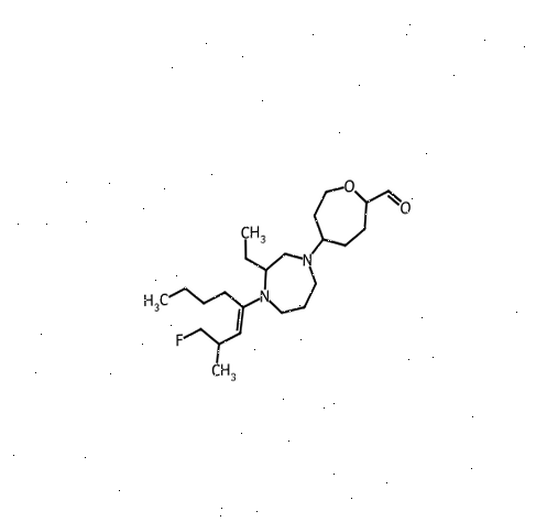 CCCC/C(=C\C(C)CF)N1CCCN(C2CCOC(C=O)CC2)CC1CC